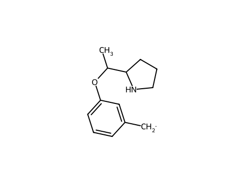 [CH2]c1cccc(OC(C)C2CCCN2)c1